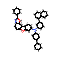 c1ccc(-c2ccc(N(c3cccc(-c4cccc5ccccc45)c3)c3ccc4c(c3)oc3ccc5nc(-c6ccccc6)oc5c34)cc2)cc1